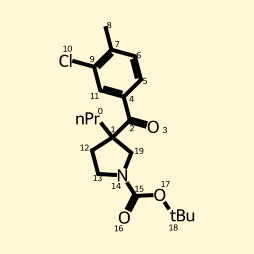 CCCC1(C(=O)c2ccc(C)c(Cl)c2)CCN(C(=O)OC(C)(C)C)C1